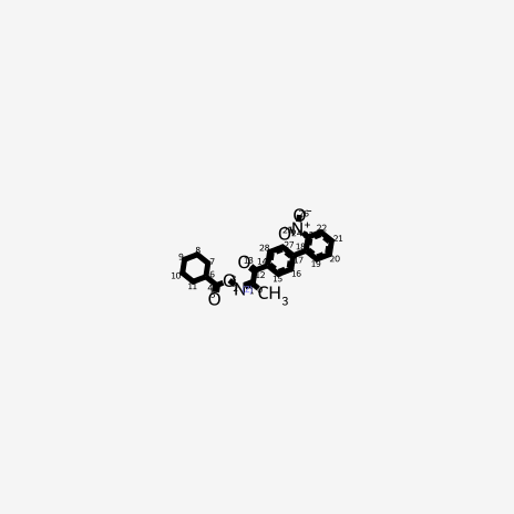 C/C(=N/OC(=O)C1CCCCC1)C(=O)c1ccc(-c2ccccc2[N+](=O)[O-])cc1